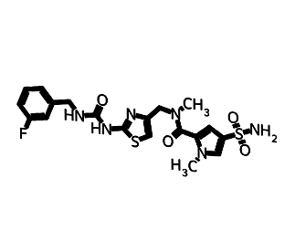 CN(Cc1csc(NC(=O)NCc2cccc(F)c2)n1)C(=O)c1cc(S(N)(=O)=O)cn1C